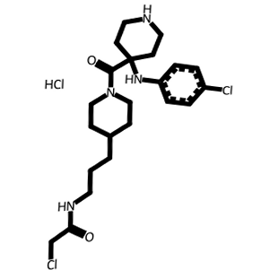 Cl.O=C(CCl)NCCCC1CCN(C(=O)C2(Nc3ccc(Cl)cc3)CCNCC2)CC1